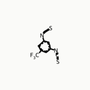 FC(F)(F)c1cc(N=C=S)cc(N=C=S)c1